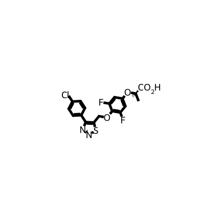 C[C@@H](Oc1cc(F)c(OCc2snnc2-c2ccc(Cl)cc2)c(F)c1)C(=O)O